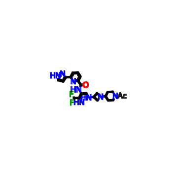 CC(=O)N1CCC(N2CC(N/C=C(/NC(=O)c3cccc(-c4cc[nH]n4)n3)C(=N)C(F)F)C2)CC1